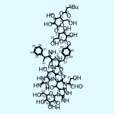 CCC(C)CC(=O)OC1C(CO)OC(OC2C(CO)OC(Oc3ccc(C[C@H](NC(=O)[C@@H](N)C(C)c4ccccc4)C(=O)N[C@H](C(=O)N[C@H](C(=O)N[C@H]([C]=O)CO)C(O)C4CNC(=N)N4C4OC(CO)C(O)C(O)C4O)C(O)C4CNC(=N)N4)cc3)C(O)C2O)C(O)C1O